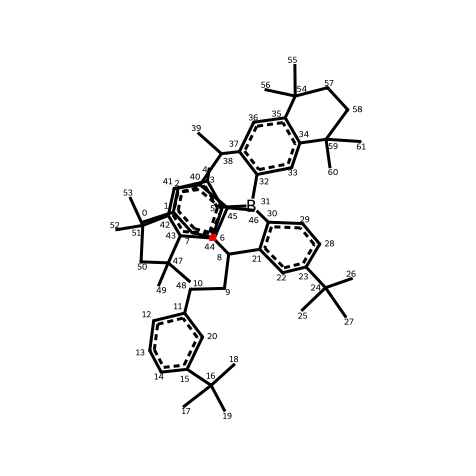 Cc1cc(C)c2c(c1)C(CCc1cccc(C(C)(C)C)c1)c1cc(C(C)(C)C)ccc1B2c1cc2c(cc1C(C)c1cc3c(cc1C)C(C)(C)CC3(C)C)C(C)(C)CCC2(C)C